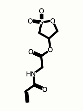 C=CC(=O)NCC(=O)OC1COS(=O)(=O)C1